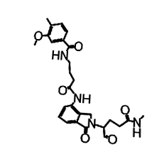 CNC(=O)CCC(C=O)N1Cc2c(NC(=O)CCCNC(=O)c3ccc(C)c(OC)c3)cccc2C1=O